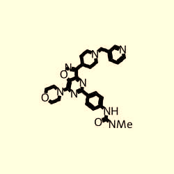 CNC(=O)Nc1ccc(-c2nc(N3CCOCC3)c3onc(C4CCN(Cc5cccnc5)CC4)c3n2)cc1